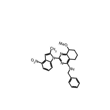 COC1CCCc2c(NCc3ccccc3)nc(-n3c(C)cc4c([N+](=O)[O-])cccc43)nc21